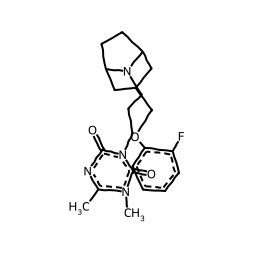 Cc1nc(=O)n(CCCN2C3CCC2CC(COc2ccccc2F)C3)c(=O)n1C